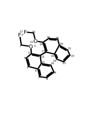 FCOc1ccc2ccccc2c1-c1c(OCF)ccc2ccccc12